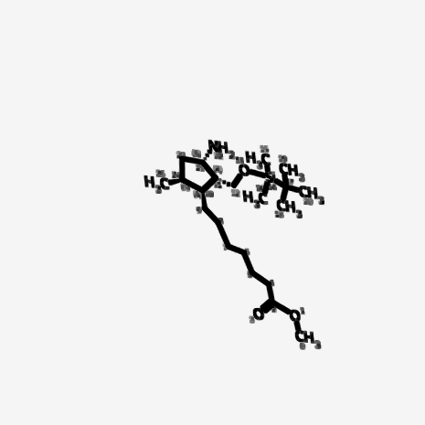 COC(=O)CCCCCC[C@@H]1[C@@H](CO[Si](C)(C)C(C)(C)C)[C@@H](N)C[C@@H]1C